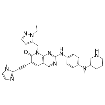 CCn1nccc1Cn1c(=O)c(C#Cc2nccn2C)cc2cnc(Nc3ccc(N(C)C4CCCNC4)cc3)nc21